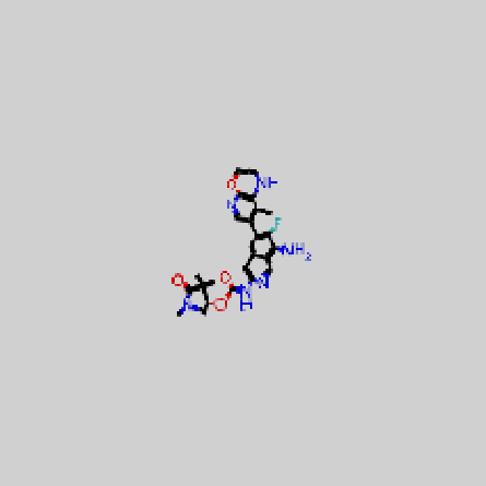 Cc1c(-c2cc3cc(NC(=O)O[C@@H]4CN(C)C(=O)C4(C)C)ncc3c(N)c2F)cnc2c1NCCO2